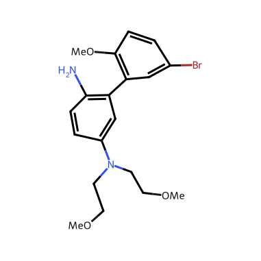 COCCN(CCOC)c1ccc(N)c(-c2cc(Br)ccc2OC)c1